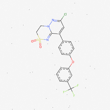 O=S1(=O)CCN2N=C(Cl)C=C(c3ccc(Oc4cccc(C(F)(F)F)c4)cc3)C2=N1